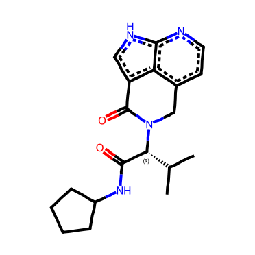 CC(C)[C@H](C(=O)NC1CCCC1)N1Cc2ccnc3[nH]cc(c23)C1=O